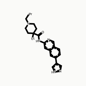 CCC1(C(=O)Nc2cc3cc(-c4cn[nH]c4)ccc3cn2)CCN(CC(C)C)CC1